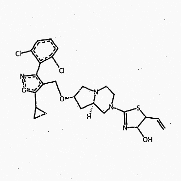 C=CC1SC(N2CCN3C[C@H](OCc4c(-c5c(Cl)cccc5Cl)noc4C4CC4)C[C@@H]3C2)=NC1O